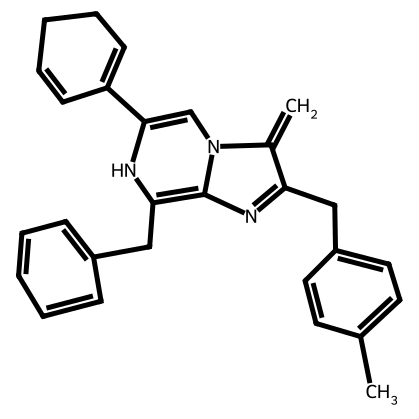 C=c1c(Cc2ccc(C)cc2)nc2n1C=C(C1=CCCC=C1)NC=2Cc1ccccc1